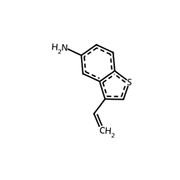 C=Cc1csc2ccc(N)cc12